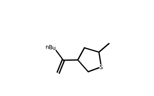 C=C(CCCC)C1CSC(C)C1